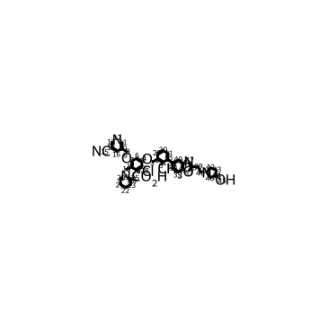 Cc1c(COc2cc(OCc3cncc(C#N)c3)c(CN3CCCC[C@H]3C(=O)O)cc2Cl)cccc1-c1ccc2oc(CCN3CC[C@@H](O)C3)nc2c1